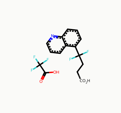 O=C(O)C(F)(F)F.O=C(O)CCC(F)(F)c1cccc2ncccc12